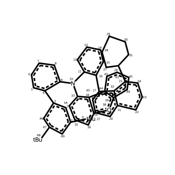 CC(C)(C)c1cc(-c2ccccc2N(c2ccccc2-c2cccc3cccc(C4CCCCC4)c23)c2cccc3oc4ccccc4c23)cc(C(C)(C)C)c1